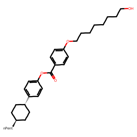 CCCCC[C@H]1CC[C@H](c2ccc(OC(=O)c3ccc(OCCCCCCCCO)cc3)cc2)CC1